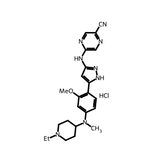 CCN1CCC(N(C)c2ccc(-c3cc(Nc4cnc(C#N)cn4)n[nH]3)c(OC)c2)CC1.Cl